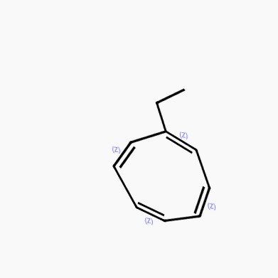 CCC1=C/C=C\C=C/C=C\1